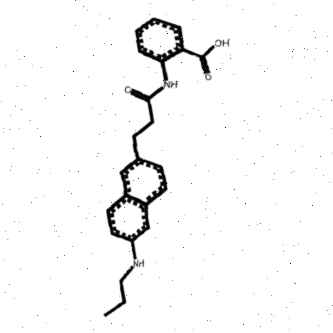 CCCNc1ccc2cc(CCC(=O)Nc3ccccc3C(=O)O)ccc2c1